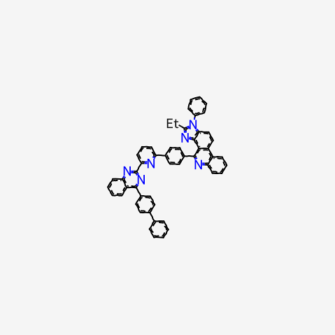 CCc1nc2c3c(-c4ccc(-c5cccc(-c6nc(-c7ccc(-c8ccccc8)cc7)c7ccccc7n6)n5)cc4)nc4ccccc4c3ccc2n1-c1ccccc1